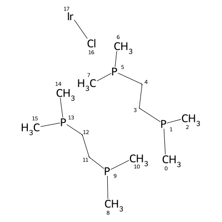 CP(C)CCP(C)C.CP(C)CCP(C)C.[Cl][Ir]